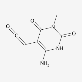 Cn1c(=O)[nH]c(N)c(C=C=O)c1=O